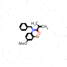 C=C(C)C(=O)N(Cc1ccccc1)c1ccc(OC)cc1Br